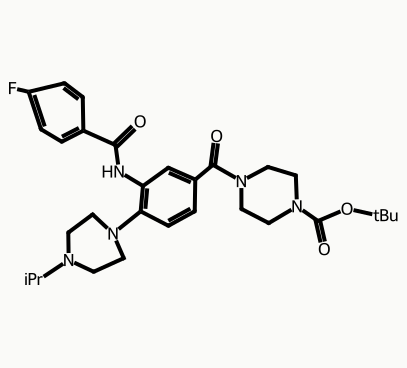 CC(C)N1CCN(c2ccc(C(=O)N3CCN(C(=O)OC(C)(C)C)CC3)cc2NC(=O)c2ccc(F)cc2)CC1